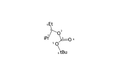 CCC(OC(=O)OC(C)(C)C)C(C)C